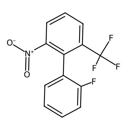 O=[N+]([O-])c1cccc(C(F)(F)F)c1-c1ccccc1F